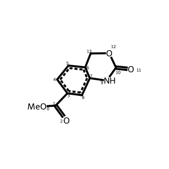 COC(=O)c1ccc2c(c1)NC(=O)OC2